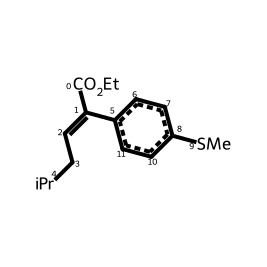 CCOC(=O)/C(=C/CC(C)C)c1ccc(SC)cc1